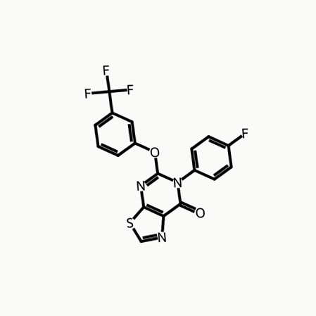 O=c1c2ncsc2nc(Oc2cccc(C(F)(F)F)c2)n1-c1ccc(F)cc1